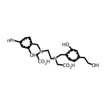 CCCc1ccc(CN(CCN(CC(=O)O)Cc2ccc(CCO)cc2O)CC(=O)O)c(O)c1